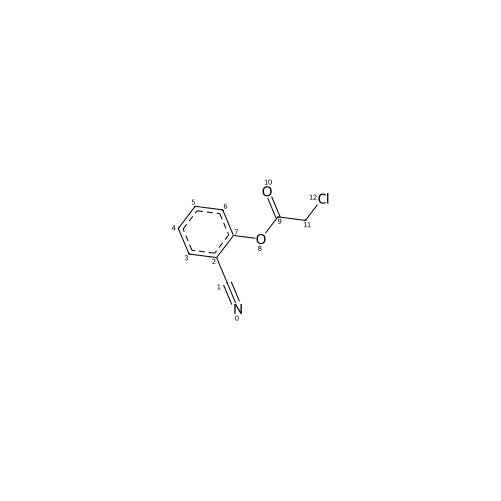 N#Cc1ccccc1OC(=O)CCl